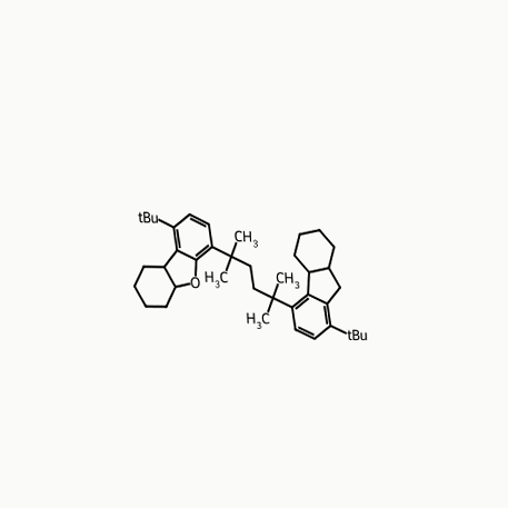 CC(C)(C)c1ccc(C(C)(C)CCC(C)(C)c2ccc(C(C)(C)C)c3c2OC2CCCCC32)c2c1CC1CCCCC21